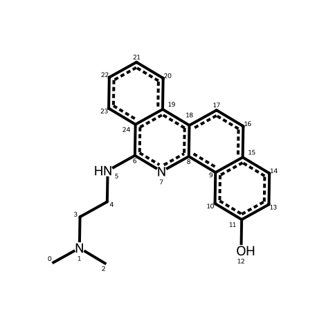 CN(C)CCNc1nc2c3cc(O)ccc3ccc2c2ccccc12